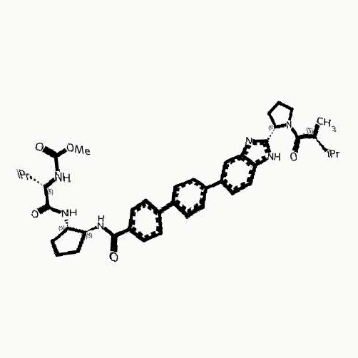 COC(=O)N[C@H](C(=O)N[C@H]1CCC[C@@H]1NC(=O)c1ccc(-c2ccc(-c3ccc4[nH]c([C@@H]5CCCN5C(=O)[C@@H](C)C(C)C)nc4c3)cc2)cc1)C(C)C